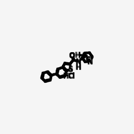 Cl.O=C(N[C@H]1CN2CCC1CC2)c1cc2cc(-c3ccccc3)ccc2s1